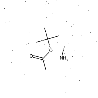 CC(=O)OC(C)(C)C.CN